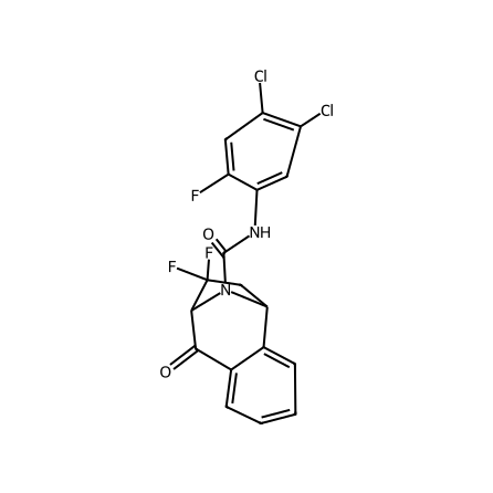 O=C1c2ccccc2C2CC(F)(F)C1N2C(=O)Nc1cc(Cl)c(Cl)cc1F